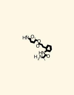 CNC(=O)/C=C\[C@H](C)OC(=O)CCc1ccccc1NC(=O)[C@H](C)N